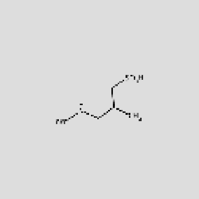 CCCNCC(C)CS(=O)(=O)O